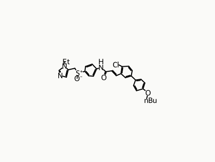 CCCCOc1ccc(-c2ccc(Cl)c(/C=C/C(=O)Nc3ccc([S@@+]([O-])Cc4cncn4CC)cc3)c2)cc1